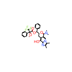 CO[C@@](C(=O)OC(CCc1c(C(=O)N(C)C)cn2c(C)c(C)nc2c1O)c1ccccc1)(c1ccccc1)C(F)(F)F